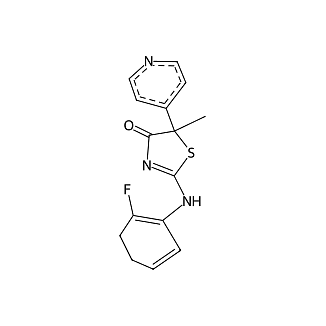 CC1(c2ccncc2)SC(NC2=C(F)CCC=C2)=NC1=O